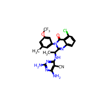 Cc1cc(OC(F)(F)F)cc(-n2c(C(C)Nc3nc(N)nc(N)c3C#N)nc3cccc(Cl)c3c2=O)c1